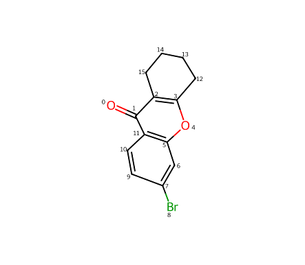 O=c1c2c(oc3cc(Br)ccc13)CCCC2